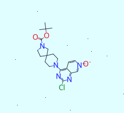 CC(C)(C)OC(=O)N1CCC2(CCN(c3nc(Cl)nc4c[n+]([O-])ccc34)CC2)C1